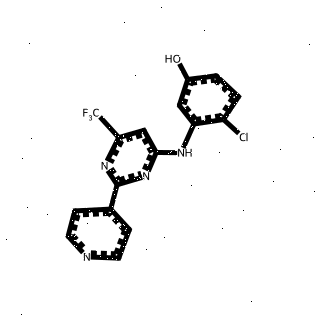 Oc1ccc(Cl)c(Nc2cc(C(F)(F)F)nc(-c3ccncc3)n2)c1